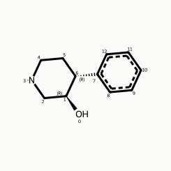 O[C@H]1C[N]CC[C@@H]1c1ccccc1